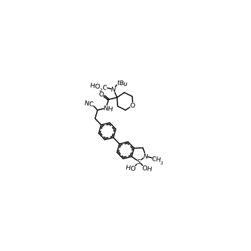 CN1Cc2cc(-c3ccc(CC(C#N)NC(=O)C4(N(C(=O)O)C(C)(C)C)CCOCC4)cc3)ccc2S1(O)O